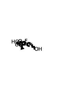 O=C(O)c1cn(C2CC2)c2cc(N3CCN(CCCCO)CC3)c(F)cc2c1=O